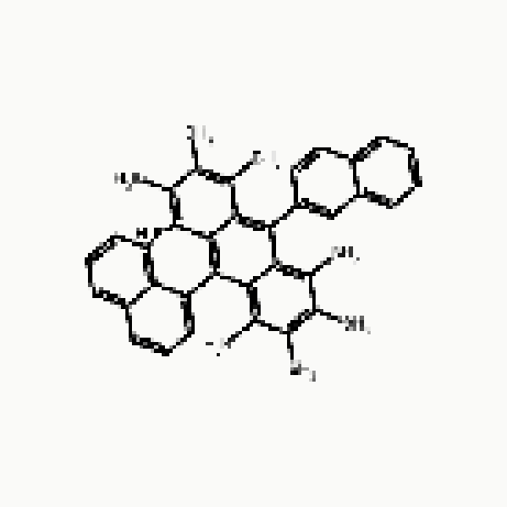 Bc1c(B)c(B)c2c(-c3cccc4ccccc34)c3c(B)c(B)c(B)c(B)c3c(-c3ccc4ccccc4c3)c2c1B